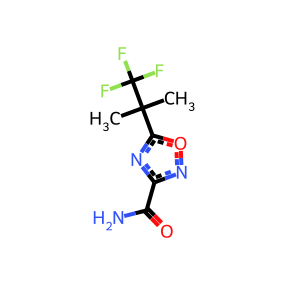 CC(C)(c1nc(C(N)=O)no1)C(F)(F)F